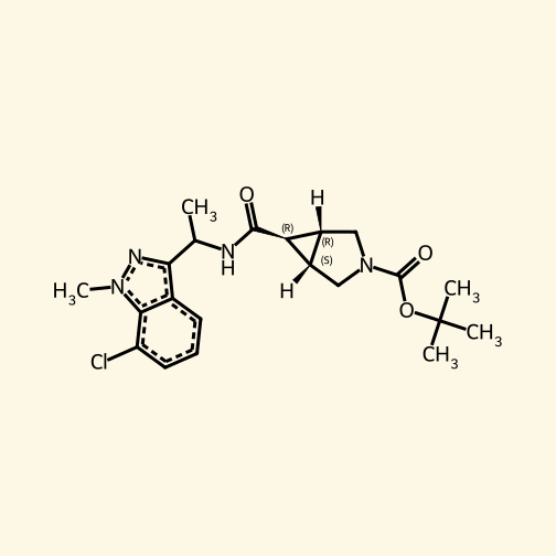 CC(NC(=O)[C@H]1[C@@H]2CN(C(=O)OC(C)(C)C)C[C@@H]21)c1nn(C)c2c(Cl)cccc12